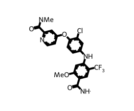 CNC(=O)c1cc(Oc2ccc(Nc3cc(OC)c(C([NH])=O)cc3C(F)(F)F)cc2Cl)ccn1